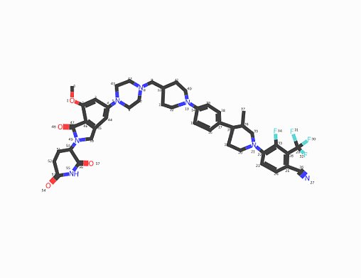 COc1cc(N2CCN(CC3CCN(c4ccc(C5CCN(c6ccc(C#N)c(C(F)(F)F)c6F)CC5C)cc4)CC3)CC2)cc2c1C(=O)N(C1CCC(=O)NC1=O)C2